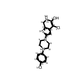 OC1=C(Cl)c2cc(N3CCN(c4ccc(Cl)cc4)CC3)sc2CN1